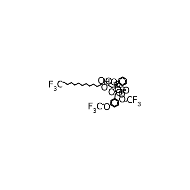 O=C(CCCCCCCCCCC(F)(F)F)OC(=O)C(OC(=O)c1cc(OCC(F)(F)F)ccc1OCC(F)(F)F)P(=O)(O)OS(=O)(=O)c1ccccc1